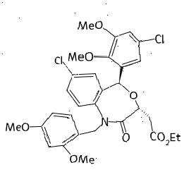 CCOC(=O)C[C@H]1O[C@H](c2cc(Cl)cc(OC)c2OC)c2cc(Cl)ccc2N(Cc2ccc(OC)cc2OC)C1=O